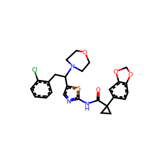 O=C(Nc1ncc(C(Cc2ccccc2Cl)N2CCOCC2)s1)C1(c2ccc3c(c2)OCO3)CC1